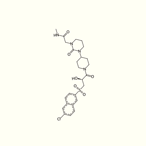 CNC(=O)CN1CCCN(C2CCN(C(=O)[C@H](O)CS(=O)(=O)c3ccc4cc(Cl)ccc4c3)CC2)C1=O